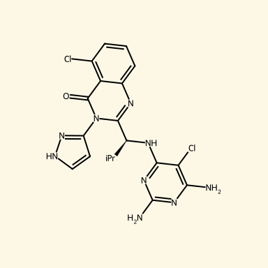 CC(C)[C@H](Nc1nc(N)nc(N)c1Cl)c1nc2cccc(Cl)c2c(=O)n1-c1cc[nH]n1